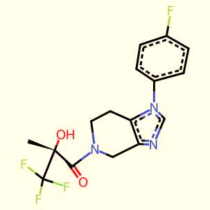 C[C@@](O)(C(=O)N1CCc2c(ncn2-c2ccc(F)cc2)C1)C(F)(F)F